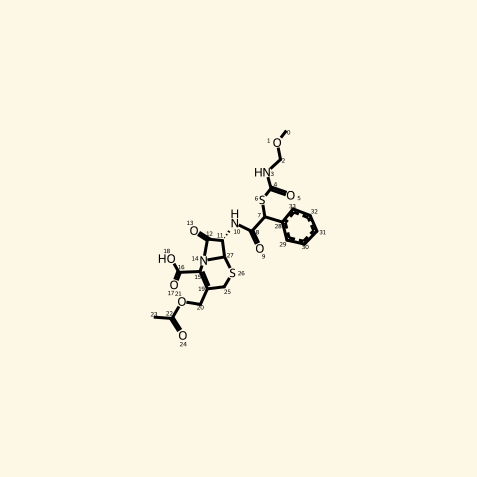 COCNC(=O)SC(C(=O)N[C@H]1C(=O)N2C(C(=O)O)=C(COC(C)=O)CSC12)c1ccccc1